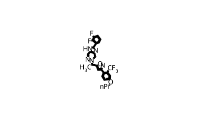 CCCOc1ccc(-c2cc([C@@H](C)N3Cc4nc(-c5cccc(F)c5F)[nH]c4C=N3)on2)c(C(F)(F)F)c1